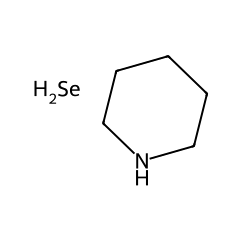 C1CCNCC1.[SeH2]